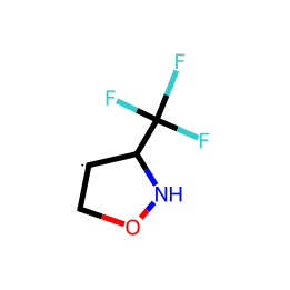 FC(F)(F)C1[CH]CON1